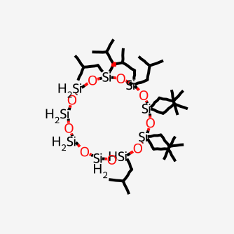 CC(C)C[SiH]1O[SiH2]O[SiH2]O[SiH2]O[SiH2]O[Si](CC(C)C)(CC(C)C)O[Si](CC(C)C)(CC(C)C)O[Si](CC(C)C)(CC(C)C)O[Si](CC(C)C)(CC(C)C)O1